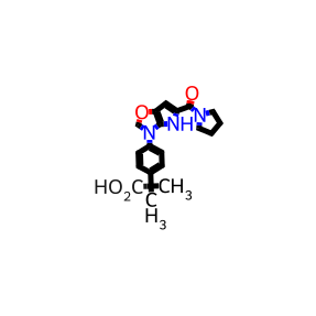 CC(C)(C(=O)O)c1ccc(N2COc3cc(C(=O)N4CCCC4)[nH]c32)cc1